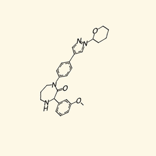 COc1cccc(C2NCCCN(c3ccc(-c4cnn(C5CCCCO5)c4)cc3)C2=O)c1